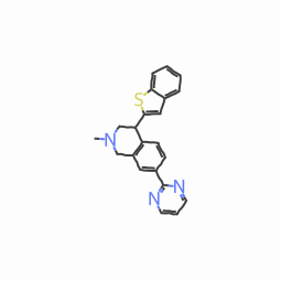 CN1Cc2cc(-c3ncccn3)ccc2C(c2cc3ccccc3s2)C1